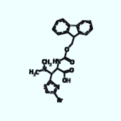 CN(C)C(c1nc(Br)cs1)C(NC(=O)OCC1c2ccccc2-c2ccccc21)C(=O)O